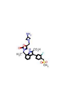 C[C@@H](c1cccc2c(-c3ccc(CS(C)(=O)=O)c(F)c3)c(C(=O)O)[nH]c12)n1cc(CN2CC(N)C2)oc1=O